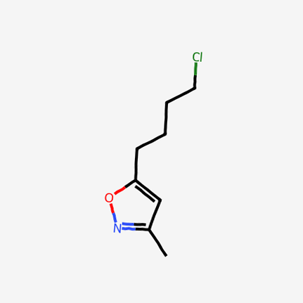 Cc1cc(CCCCCl)on1